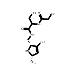 CC(C)CC(=O)NC(CO)C(=O)NC[C@H]1N[C@@H](C)C=C1O